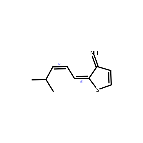 CC(C)/C=C\C=C1\SC=CC1=N